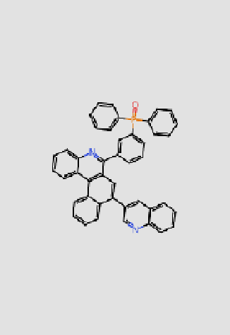 O=P(c1ccccc1)(c1ccccc1)c1cccc(-c2nc3ccccc3c3c2cc(-c2cnc4ccccc4c2)c2ccccc23)c1